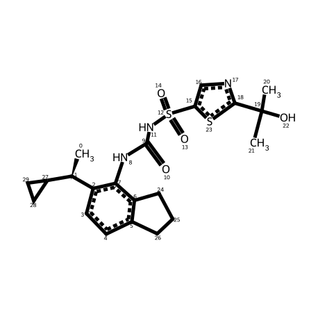 C[C@@H](c1ccc2c(c1NC(=O)NS(=O)(=O)c1cnc(C(C)(C)O)s1)CCC2)C1CC1